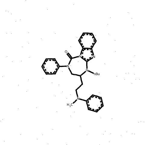 CCCCN1c2nc3ccccc3n2C(=O)N(c2ccccc2)CC1CCN(C)c1ccccc1